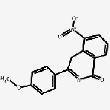 COc1ccc(C2=NC(=O)c3cccc([N+](=O)[O-])c3C2)cc1